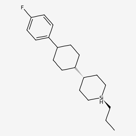 CCC[Si@H]1CC[C@H](C2CCC(c3ccc(F)cc3)CC2)CC1